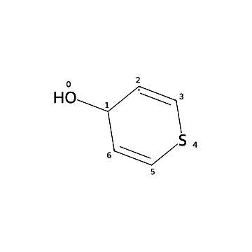 OC1[C]=CSC=C1